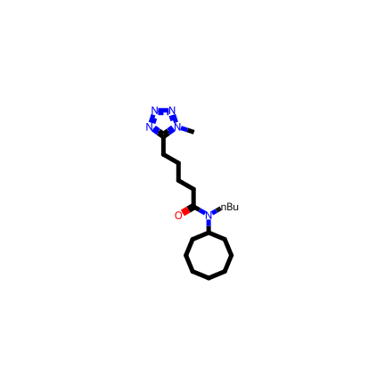 CCCCN(C(=O)CCCCc1nnnn1C)C1CCCCCCC1